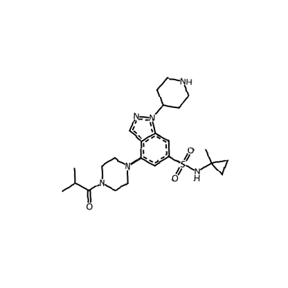 CC(C)C(=O)N1CCN(c2cc(S(=O)(=O)NC3(C)CC3)cc3c2cnn3C2CCNCC2)CC1